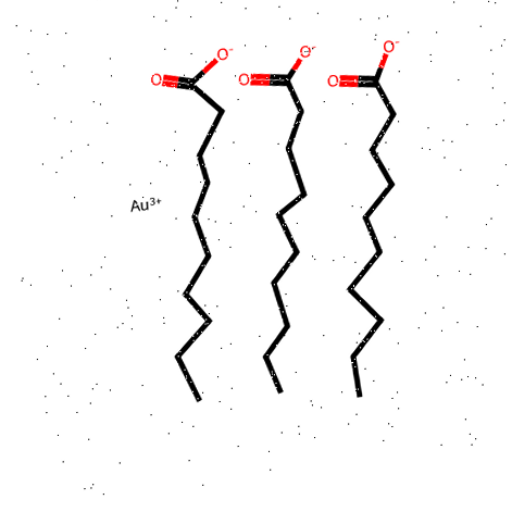 CCCCCCCCCC(=O)[O-].CCCCCCCCCC(=O)[O-].CCCCCCCCCC(=O)[O-].[Au+3]